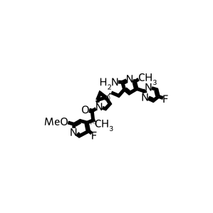 COc1cc([C@@H](C)C(=O)N2CC[C@]3(CCc4cc(-c5ncc(F)cn5)c(C)nc4N)CC23)c(F)cn1